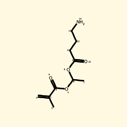 C=C(C)C(=O)OC(C)OC(=O)CCCN